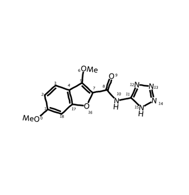 COc1ccc2c(OC)c(C(=O)Nc3nnn[nH]3)oc2c1